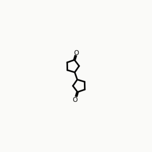 O=C1CCC(C2CCC(=O)C2)C1